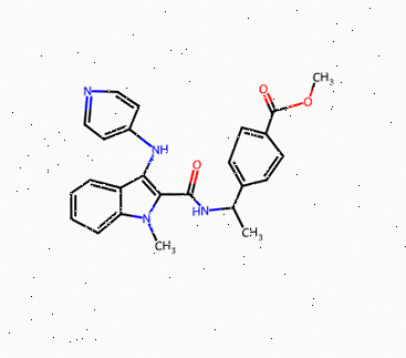 COC(=O)c1ccc(C(C)NC(=O)c2c(Nc3ccncc3)c3ccccc3n2C)cc1